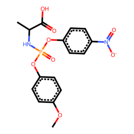 COc1ccc(OP(=O)(NC(C)C(=O)O)Oc2ccc([N+](=O)[O-])cc2)cc1